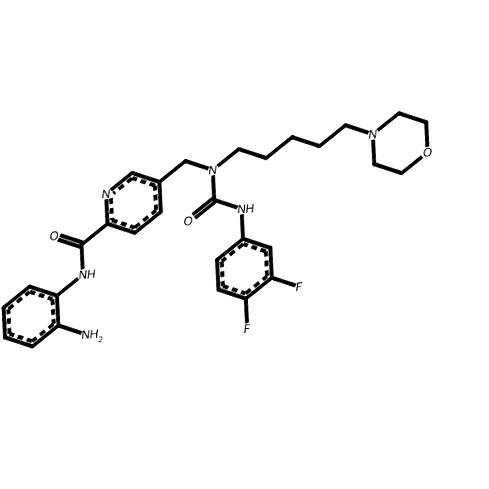 Nc1ccccc1NC(=O)c1ccc(CN(CCCCCN2CCOCC2)C(=O)Nc2ccc(F)c(F)c2)cn1